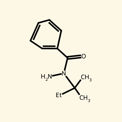 CCC(C)(C)N(N)C(=O)c1ccccc1